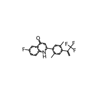 C=C(c1cc(C)c(-c2cc(=O)c3cc(F)ccc3[nH]2)cc1C)C(F)(F)F